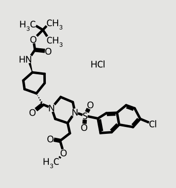 COC(=O)CC1CN(C(=O)[C@H]2CC[C@H](NC(=O)OC(C)(C)C)CC2)CCN1S(=O)(=O)c1ccc2cc(Cl)ccc2c1.Cl